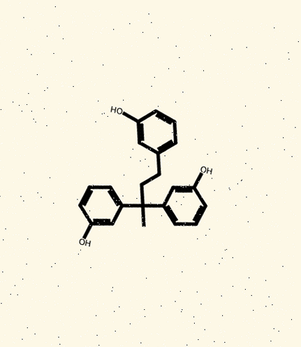 CC(CCc1cccc(O)c1)(c1cccc(O)c1)c1cccc(O)c1